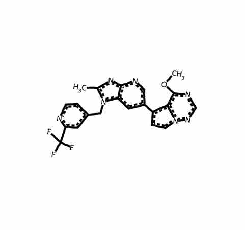 COc1ncnn2ccc(-c3cnc4nc(C)n(Cc5ccnc(C(F)(F)F)c5)c4c3)c12